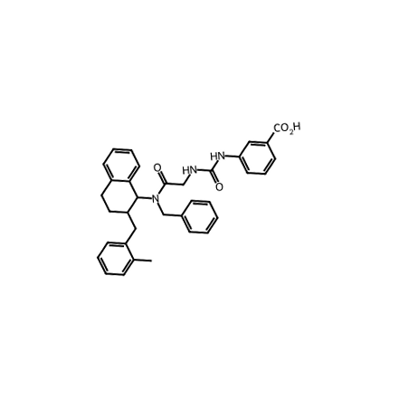 Cc1ccccc1CC1CCc2ccccc2C1N(Cc1ccccc1)C(=O)CNC(=O)Nc1cccc(C(=O)O)c1